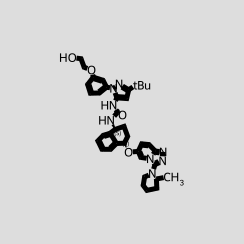 CC1CCCCN1c1nnc2ccc(O[C@H]3CC[C@H](NC(=O)Nc4cc(C(C)(C)C)nn4-c4cccc(OCCO)c4)c4ccccc43)cn12